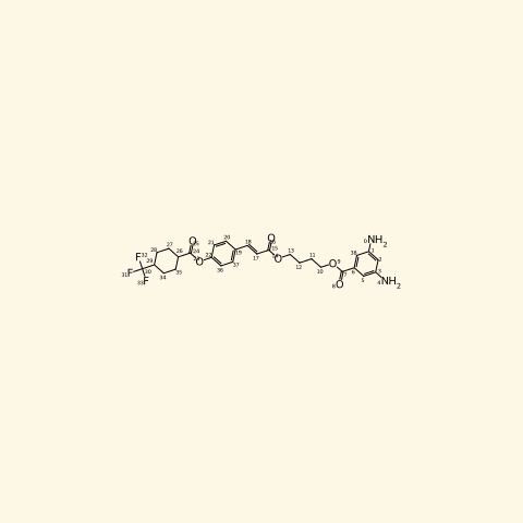 Nc1cc(N)cc(C(=O)OCCCCOC(=O)/C=C/c2ccc(OC(=O)C3CCC(C(F)(F)F)CC3)cc2)c1